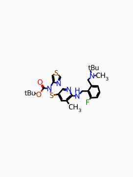 Cc1cc(SN(C(=O)OC(C)(C)C)c2cscn2)cnc1NCc1c(F)cccc1CN(C)C(C)(C)C